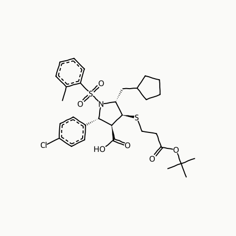 Cc1ccccc1S(=O)(=O)N1[C@H](CC2CCCC2)[C@@H](SCCC(=O)OC(C)(C)C)[C@@H](C(=O)O)[C@@H]1c1ccc(Cl)cc1